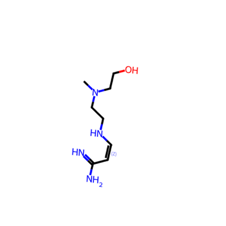 CN(CCO)CCN/C=C\C(=N)N